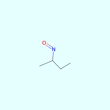 CCC(C)N=O